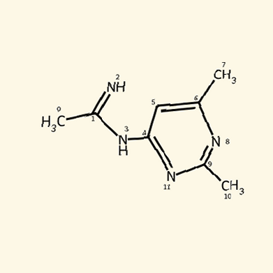 CC(=N)Nc1cc(C)nc(C)n1